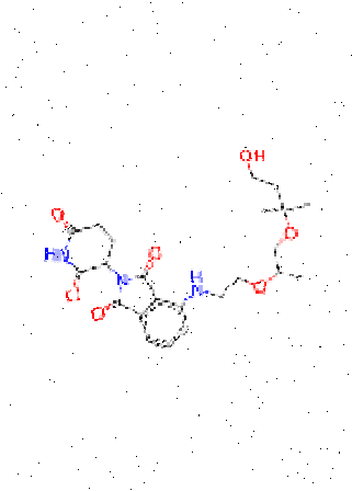 CC(COC(C)(C)CCO)OCCNc1cccc2c1C(=O)N(C1CCC(=O)NC1=O)C2=O